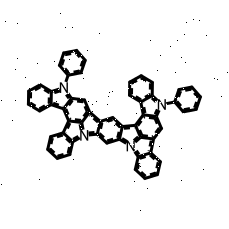 c1ccc(-n2c3ccccc3c3c4c5ccccc5n5c6cc7c(cc6c(cc32)c45)c2c3c4ccccc4n(-c4ccccc4)c3cc3c4ccccc4n7c32)cc1